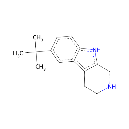 CC(C)(C)c1ccc2[nH]c3c(c2c1)CCNC3